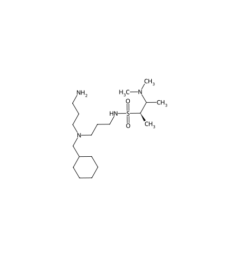 CC([C@@H](C)S(=O)(=O)NCCCN(CCCN)CC1CCCCC1)N(C)C